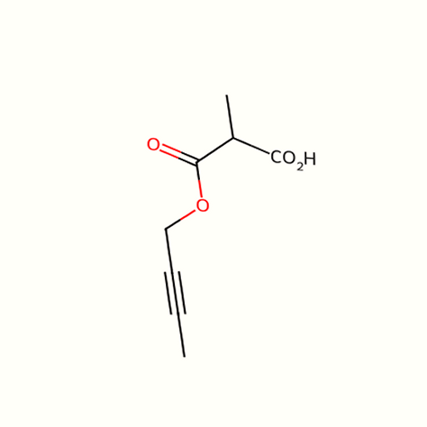 CC#CCOC(=O)C(C)C(=O)O